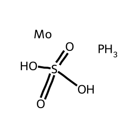 O=S(=O)(O)O.P.[Mo]